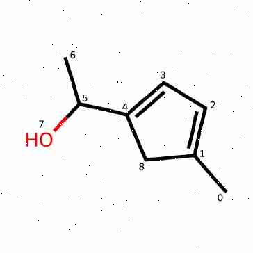 CC1=CC=C(C(C)O)C1